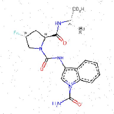 CC[C@H](C)[C@H](NC(=O)[C@@H]1C[C@@H](F)CN1C(=O)Nc1cn(C(N)=O)c2ccccc12)C(=O)O